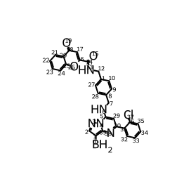 Bc1cnn2c(NCc3ccc(CNC(=O)c4cc(=O)c5ccccc5o4)cc3)cc(-c3ccccc3Cl)nc12